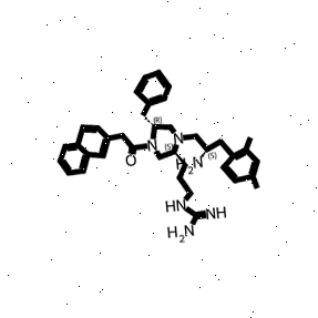 Cc1ccc(C[C@H](N)CN2C[C@@H](Cc3ccccc3)N(C(=O)Cc3ccc4ccccc4c3)C[C@@H]2CCCNC(=N)N)c(C)c1